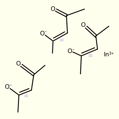 CC(=O)/C=C(/C)[O-].CC(=O)/C=C(/C)[O-].CC(=O)/C=C(/C)[O-].[In+3]